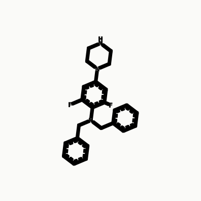 Fc1cc(N2CCNCC2)cc(F)c1N(Cc1ccccc1)Cc1ccccc1